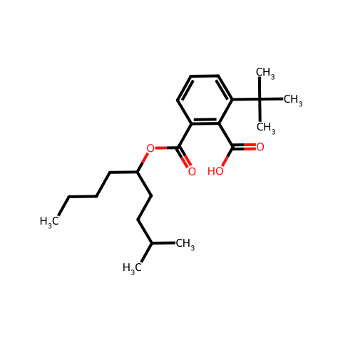 CCCCC(CCC(C)C)OC(=O)c1cccc(C(C)(C)C)c1C(=O)O